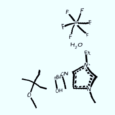 CC#N.CCCCO.CC[n+]1ccn(C)c1.COC(C)(C)C.F[P-](F)(F)(F)(F)F.O